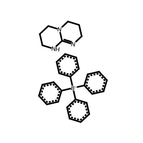 C1CN=C2NCCCN2C1.c1ccc([B-](c2ccccc2)(c2ccccc2)c2ccccc2)cc1